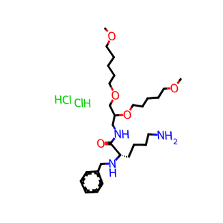 COCCCCCOCC(CNC(=O)[C@H](CCCCN)NCc1ccccc1)OCCCCCOC.Cl.Cl